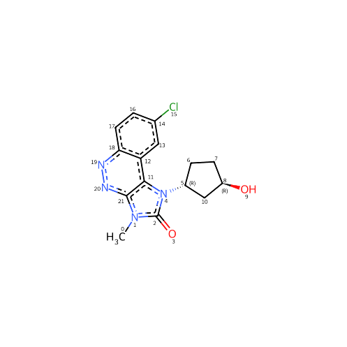 Cn1c(=O)n([C@@H]2CC[C@@H](O)C2)c2c3cc(Cl)ccc3nnc21